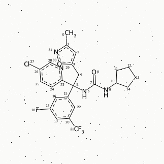 Cc1cc(CC(NC(=O)NC2CCCC2)(c2cc(F)cc(C(F)(F)F)c2)c2ccc(Cl)cn2)on1